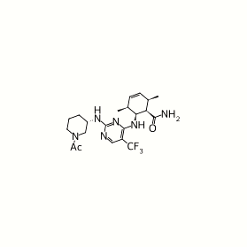 CC(=O)N1CCC[C@H](Nc2ncc(C(F)(F)F)c(N[C@@H]3[C@H](C(N)=O)[C@H](C)C=C[C@@H]3C)n2)C1